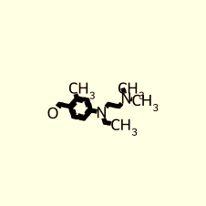 CCN(CCN(C)C)c1ccc(C=O)c(C)c1